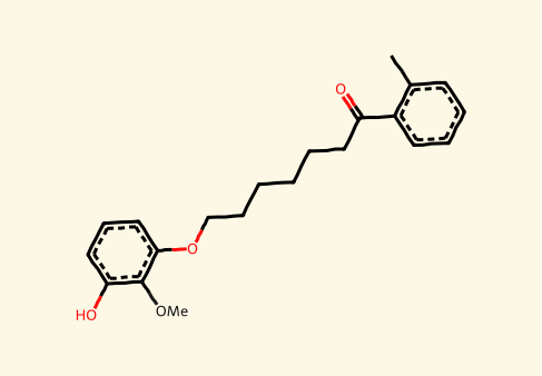 COc1c(O)cccc1OCCCCCCC(=O)c1ccccc1C